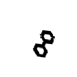 [C]1=C(C2=CC=CCC2)OC=CO1